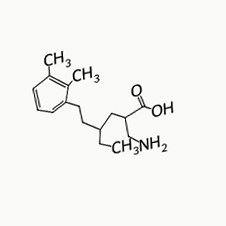 CCC(CCc1cccc(C)c1C)CC(CN)C(=O)O